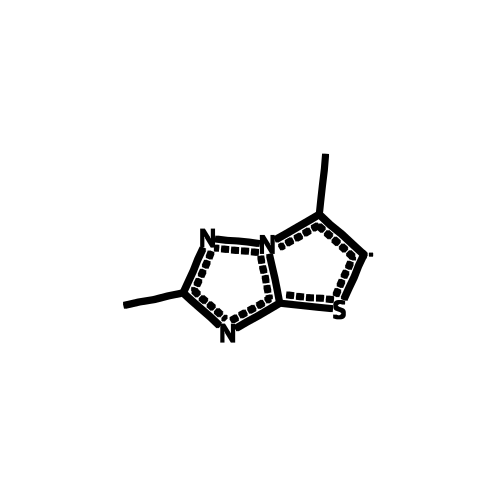 Cc1nc2s[c]c(C)n2n1